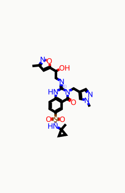 Cc1cc(C(O)C/N=c2\[nH]c3ccc(S(=O)(=O)NC4(C)CC4)cc3c(=O)n2Cc2cnn(C)c2)on1